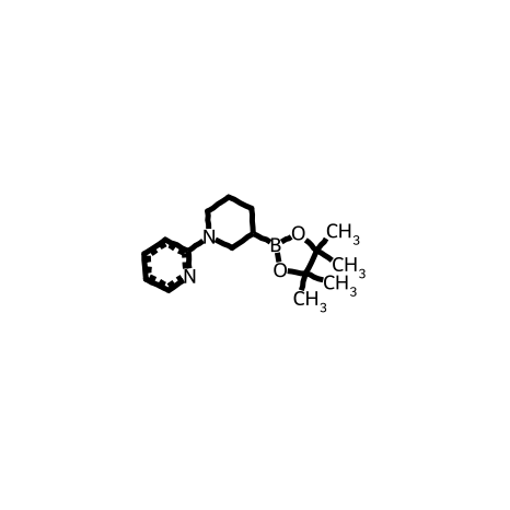 CC1(C)OB(C2CCCN(c3ccccn3)C2)OC1(C)C